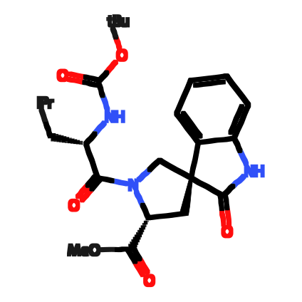 COC(=O)[C@H]1C[C@]2(CN1C(=O)[C@H](CC(C)C)NC(=O)OC(C)(C)C)C(=O)Nc1ccccc12